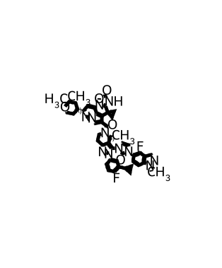 C[C@H]1c2c(nn(-c3ccc(F)c(C4CC4)c3)c2-n2ccn(-c3ccc4c(cnn4C)c3F)c2=O)CCN1C(=O)c1cn2nc([C@@H]3CCOC(C)(C)C3)ccc2c1C1(c2noc(=O)[nH]2)CC1